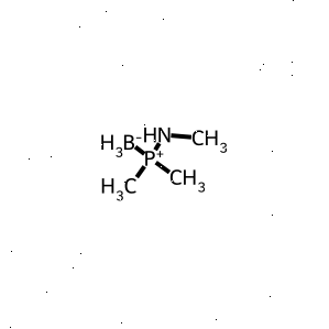 [BH3-][P+](C)(C)NC